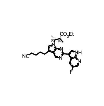 CCOC(=O)[C@H](C)[C@@H](C)n1cc(CCCCC#N)c2cnc(-c3c[nH]c4ncc(F)cc34)nc21